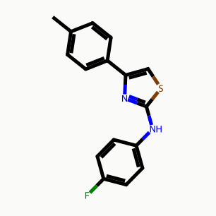 Cc1ccc(-c2csc(Nc3ccc(F)cc3)n2)cc1